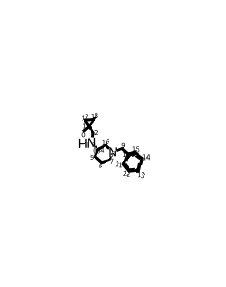 CC1(CN[C@@H]2CCCN(Cc3ccccc3)C2)CC1